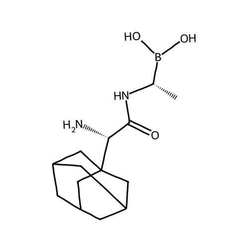 C[C@H](NC(=O)[C@@H](N)C12CC3CC(CC(C3)C1)C2)B(O)O